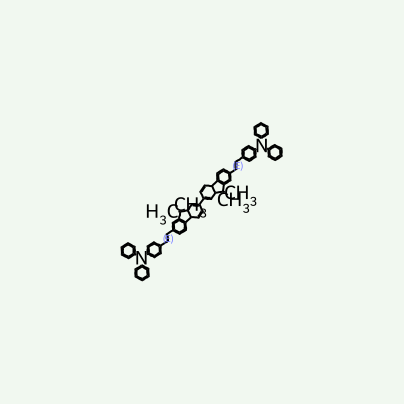 CC1(C)c2cc(/C=C/c3ccc(N(c4ccccc4)c4ccccc4)cc3)ccc2C2C=CC(C3=CC4C(C=C3)c3ccc(/C=C/c5ccc(N(c6ccccc6)c6ccccc6)cc5)cc3C4(C)C)=CC21